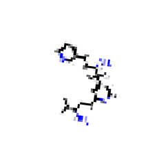 CC(C)C(N)CCc1cc(C(C)(C)C(N)CCc2cccnc2)ccn1